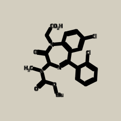 CN(C(=O)OC(C)(C)C)C1N=C(c2ccccc2Cl)c2cc(Cl)ccc2N(CC(=O)O)C1=O